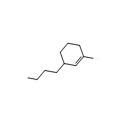 CC1=CC(CCC[O])CCC1